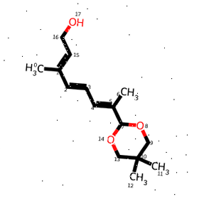 CC(C=CC=C(C)C1OCC(C)(C)CO1)=CCO